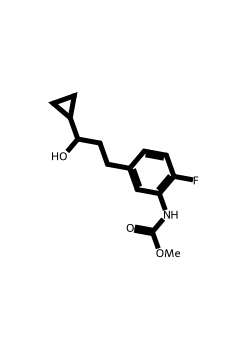 COC(=O)Nc1cc(CCC(O)C2CC2)ccc1F